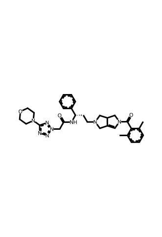 Cc1cccc(C)c1C(=O)N1C=C2CN(CC[C@H](NC(=O)Cn3nnc(N4CCOCC4)n3)c3ccccc3)CC2C1